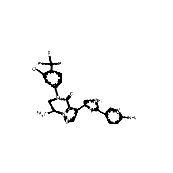 C[C@H]1CN(c2ccc(C(F)(F)F)c(Cl)c2)C(=O)c2c(-c3c[nH]c(-c4ccc(N)nc4)n3)cnn21